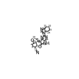 N#Cc1ccc2c(c1)C(n1c(=O)[nH]c3cnc(-n4cnc5ccccc54)nc31)CCO2